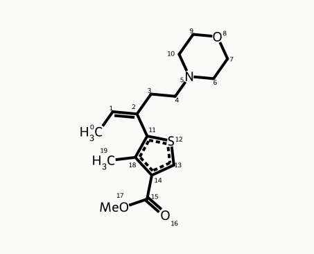 CC=C(CCN1CCOCC1)c1scc(C(=O)OC)c1C